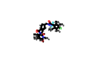 Bc1c(B)c(C(F)(F)C(=O)NCc2ccc3c(c2)CN(C2(B)C(=O)N(B)C(=O)C(B)(B)C2(B)B)C3=O)c(B)c(B)c1Cl